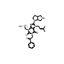 CC(C)=CCn1c(N2CCC3CNCC32)nc2c1c(=O)n(CC(=O)c1ccccc1)c(=O)n2CC(F)(F)F.Cl